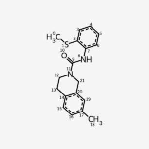 CSc1ccccc1NC(=O)N1CCc2ccc(C)cc2C1